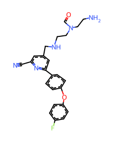 N#Cc1cc(CNCCN(C=O)CCN)cc(-c2ccc(Oc3ccc(F)cc3)cc2)n1